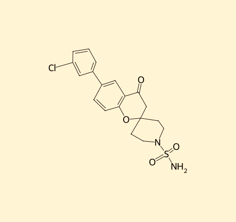 NS(=O)(=O)N1CCC2(CC1)CC(=O)c1cc(-c3cccc(Cl)c3)ccc1O2